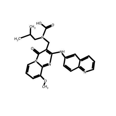 COc1cccn2c(=O)c(CN(CC(C)C)C(=O)O)c(Nc3ccc4ncccc4c3)nc12